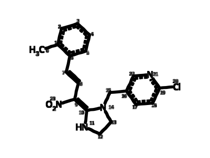 Cc1ccccc1/C=C/C(=C1/NCCN1Cc1ccc(Cl)nc1)[N+](=O)[O-]